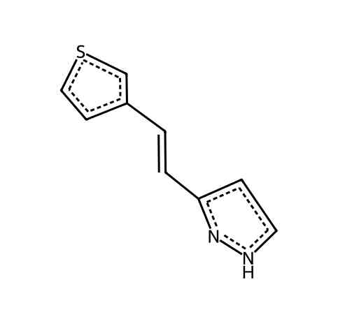 C(=C\c1cc[nH]n1)/c1ccsc1